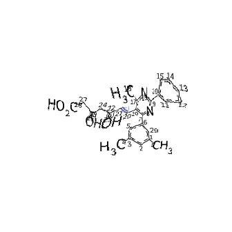 Cc1cc(C)cc(-c2nc(-c3ccccc3)nc(C)c2/C=C/[C@@H](O)C[C@@H](O)CC(=O)O)c1